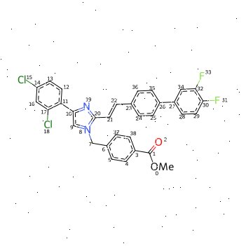 COC(=O)c1ccc(Cn2cc(-c3ccc(Cl)cc3Cl)nc2/C=C/c2ccc(-c3ccc(F)c(F)c3)cc2)cc1